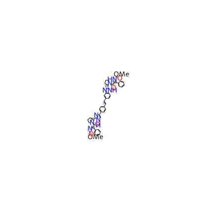 COO/C=N\[C@@H](C(=O)N1CCC[C@H]1c1nc(-c2ccc(/C=C/c3ccc4[nH]c([C@@H]5CCCN5C(=O)[C@H](NC(=O)OC)c5ccccc5)nc4c3)cc2)c[nH]1)c1ccccc1